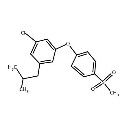 CC(C)Cc1cc(Cl)cc(Oc2ccc(S(C)(=O)=O)cc2)c1